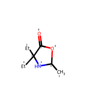 CCC1(CC)NC(C)OC1=O